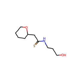 OCCCNC(=S)CC1CCCCO1